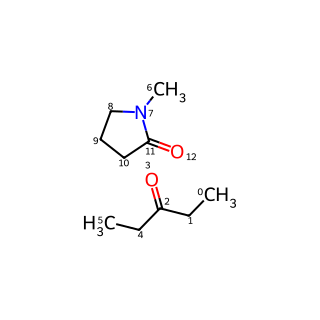 CCC(=O)CC.CN1CCCC1=O